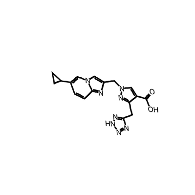 O=C(O)c1cn(Cc2cn3cc(C4CC4)ccc3n2)nc1Cc1nn[nH]n1